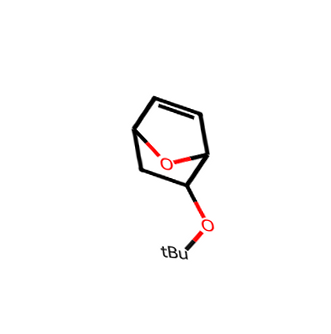 CC(C)(C)OC1CC2C=CC1O2